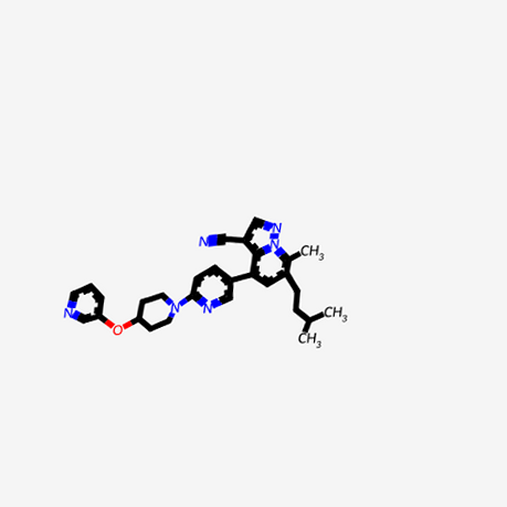 Cc1c(CCC(C)C)cc(-c2ccc(N3CCC(Oc4cccnc4)CC3)nc2)c2c(C#N)cnn12